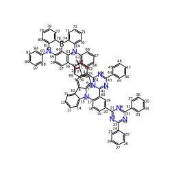 CC(C)(C)c1ccc2c(c1)c1ccccc1n2-c1ccc(-c2nc(-c3ccccc3)nc(-c3ccccc3)n2)cc1-c1nc(-c2ccccc2)nc(-c2ccc(-c3ccc4c5c3N(c3ccccc3)c3ccccc3B5c3ccccc3N4c3ccccc3)cc2)n1